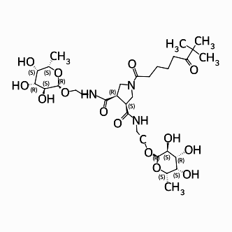 C[C@@H]1O[C@@H](OCCNC(=O)[C@H]2CN(C(=O)CCCCC(=O)C(C)(C)C)C[C@H]2C(=O)NCCO[C@@H]2O[C@@H](C)[C@@H](O)[C@@H](O)[C@@H]2O)[C@@H](O)[C@H](O)[C@@H]1O